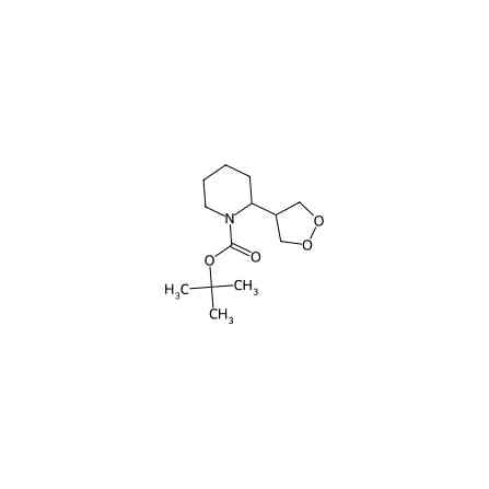 CC(C)(C)OC(=O)N1CCCCC1C1COOC1